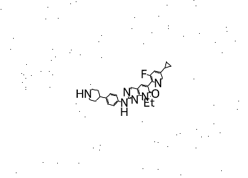 CCn1c(=O)c(-c2ncc(C3CC3)cc2F)cc2cnc(Nc3ccc(C4CCNCC4)cc3)nc21